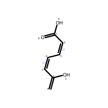 C=C(O)/C=C\C=C/C(=O)O